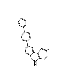 Cc1ccc2c(c1)-c1cc(-c3ccc(-c4ccccc4)cc3)ccc1CN2